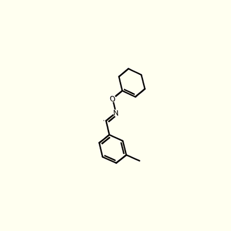 Cc1cccc([C]=NOC2=CCCCC2)c1